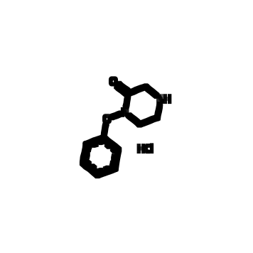 Cl.O=C1CNCCN1Oc1ccccc1